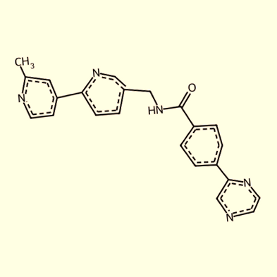 Cc1cc(-c2ccc(CNC(=O)c3ccc(-c4cnccn4)cc3)cn2)ccn1